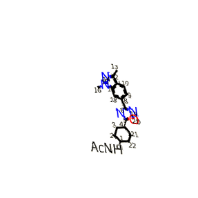 CC(=O)N[C@H]1CC[C@@H](c2nc(-c3ccc4c(C)nn(C)c4c3)no2)CC1